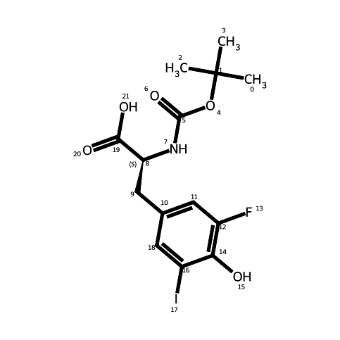 CC(C)(C)OC(=O)N[C@@H](Cc1cc(F)c(O)c(I)c1)C(=O)O